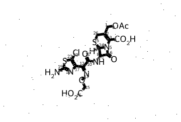 CC(=O)OCC1=C(C(=O)O)N2C(=O)[C@@H](NC(=O)C(=NOCC(=O)O)c3nc(N)sc3Cl)[C@H]2SC1